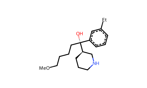 CCc1cccc([C@](O)(CCCCOC)[C@@H]2CCCNC2)c1